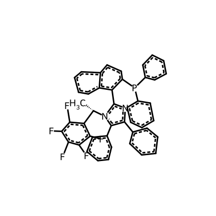 C[C@@H](c1c(F)c(F)c(F)c(F)c1F)n1c(-c2c(P(c3ccccc3)c3ccccc3)ccc3ccccc23)nc(-c2ccccc2)c1-c1ccccc1